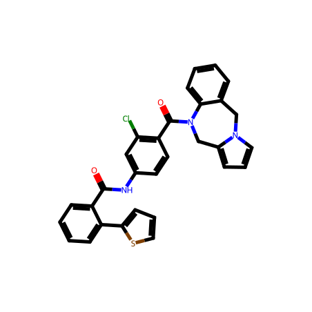 O=C(Nc1ccc(C(=O)N2Cc3cccn3Cc3ccccc32)c(Cl)c1)c1ccccc1-c1cccs1